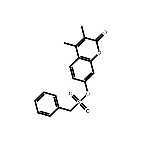 Cc1c(C)c2ccc(OS(=O)(=O)Cc3ccccc3)cc2oc1=O